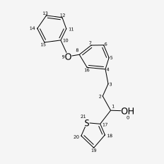 OC(CCc1cccc(Oc2ccccc2)c1)c1cccs1